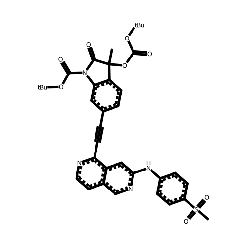 CC(C)(C)OC(=O)OC1(C)C(=O)N(C(=O)OC(C)(C)C)c2cc(C#Cc3nccc4cnc(Nc5ccc(S(C)(=O)=O)cc5)cc34)ccc21